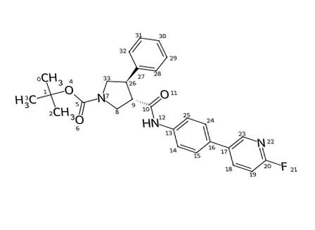 CC(C)(C)OC(=O)N1C[C@@H](C(=O)Nc2ccc(-c3ccc(F)nc3)cc2)[C@H](c2ccccc2)C1